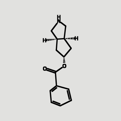 O=C(O[C@@H]1C[C@H]2CNC[C@H]2C1)c1ccccc1